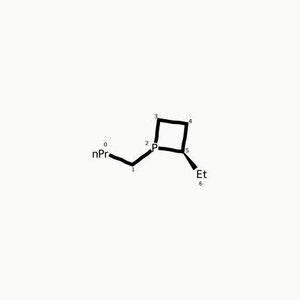 CCCCP1CC[C@H]1CC